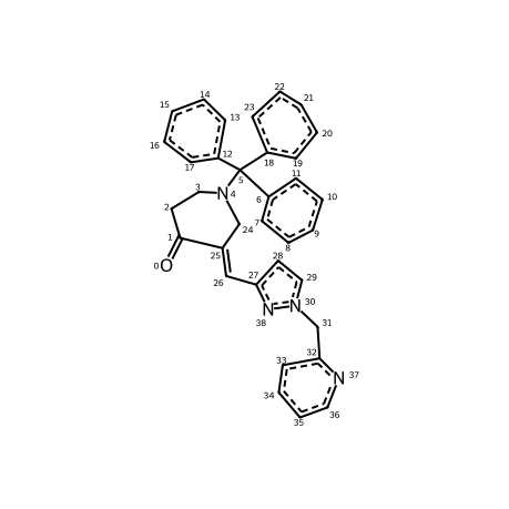 O=C1CCN(C(c2ccccc2)(c2ccccc2)c2ccccc2)C/C1=C\c1ccn(Cc2ccccn2)n1